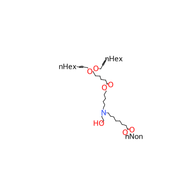 CCCCCCC#CCOC(CCCCC(=O)OCCCCCCN(CCO)CCCCCCCC(=O)OCCCCCCCCC)OCC#CCCCCCC